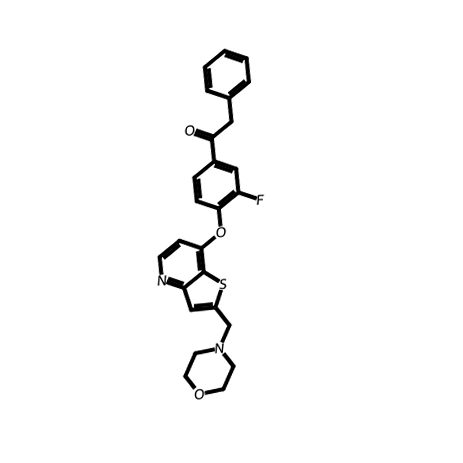 O=C(Cc1ccccc1)c1ccc(Oc2ccnc3cc(CN4CCOCC4)sc23)c(F)c1